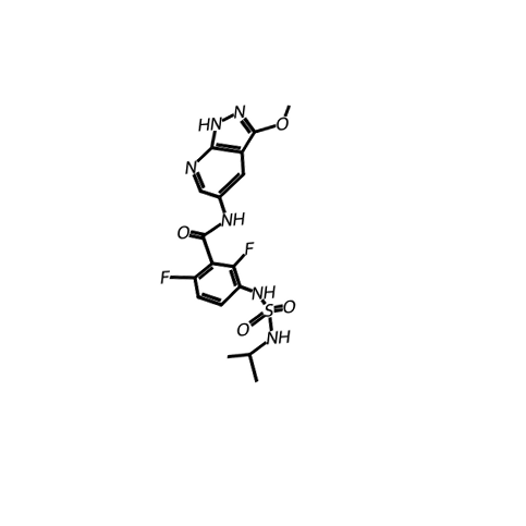 COc1n[nH]c2ncc(NC(=O)c3c(F)ccc(NS(=O)(=O)NC(C)C)c3F)cc12